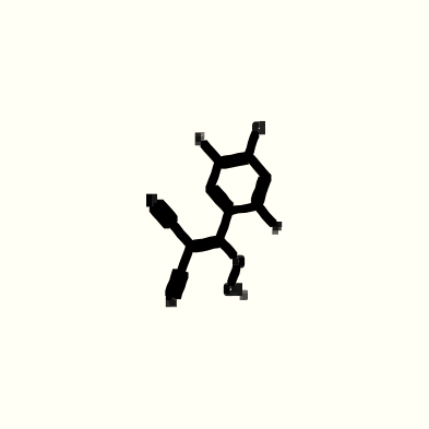 COC(=C(C#N)C#N)c1cc(F)c(Cl)cc1F